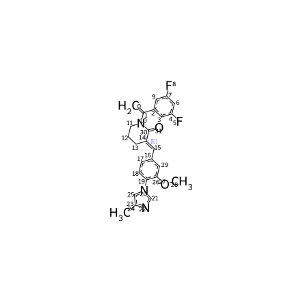 C=C(c1cc(F)cc(F)c1)N1CCC/C(=C\c2ccc(-n3cnc(C)c3)c(OC)c2)C1=O